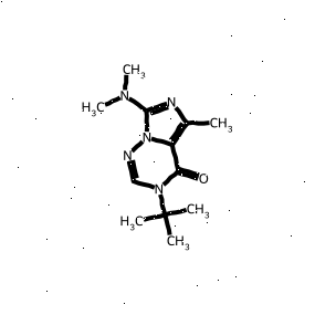 Cc1nc(N(C)C)n2ncn(C(C)(C)C)c(=O)c12